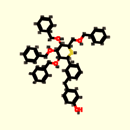 Oc1ccc(Cc2cccc([C@@H]3S[C@H](COCc4ccccc4)[C@@H](OCc4ccccc4)[C@H](OCc4ccccc4)[C@H]3OCc3ccccc3)c2)cc1